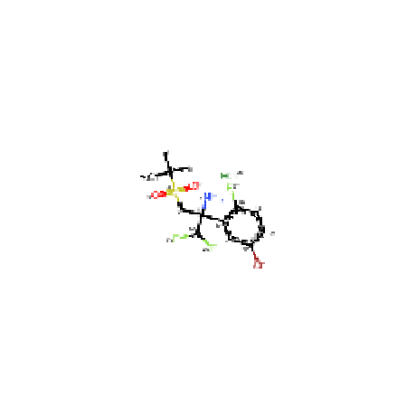 CC(C)(C#N)S(=O)(=O)CC(N)(c1cc(Br)ccc1F)C(F)F.Cl